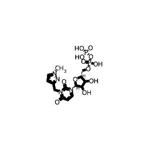 Cn1ccc(Cn2c(=O)ccn([C@@H]3O[C@H](COP(=O)(O)OP(=O)(O)O)C(O)C3O)c2=O)n1